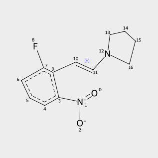 O=[N+]([O-])c1cccc(F)c1/C=C/N1CCCC1